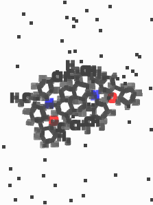 CCc1ccc2c(oc3ccccc32)c1N(c1cccc(C)c1)c1cc(C(C)C)c2ccc3c(N(c4cccc(C)c4)c4c(CC)ccc5c4oc4ccccc45)cc(C(C)C)c4ccc1c2c43